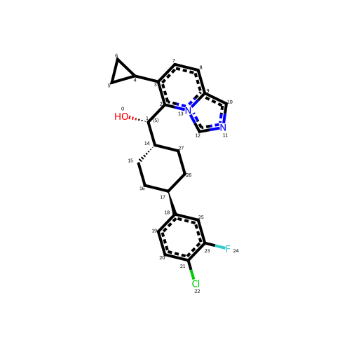 O[C@H](c1c(C2CC2)ccc2cncn12)[C@H]1CC[C@H](c2ccc(Cl)c(F)c2)CC1